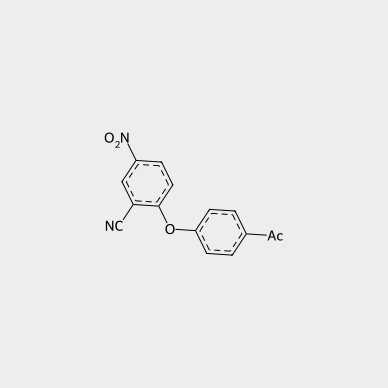 CC(=O)c1ccc(Oc2ccc([N+](=O)[O-])cc2C#N)cc1